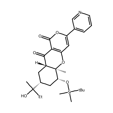 CCC(C)(O)[C@@H]1C[C@@H]2C(=O)c3c(cc(-c4cccnc4)oc3=O)O[C@@]2(C)[C@H](O[Si](C)(C)C(C)(C)C)C1